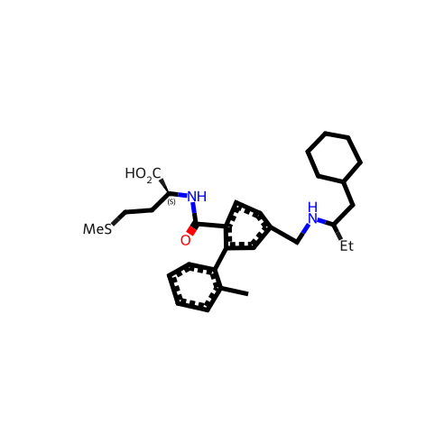 CCC(CC1CCCCC1)NCc1ccc(C(=O)N[C@@H](CCSC)C(=O)O)c(-c2ccccc2C)c1